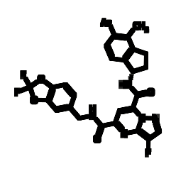 CC(=O)c1ccc2c(c1C)CC[C@@H]2NC(=O)c1cc(C(=O)NCc2ccc3c(c2)OC(F)(F)O3)nc2c(F)cnn12